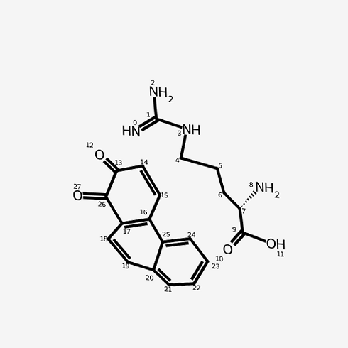 N=C(N)NCCC[C@H](N)C(=O)O.O=C1C=Cc2c(ccc3ccccc23)C1=O